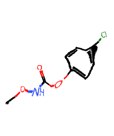 CONC(=O)Oc1ccc(Cl)cc1